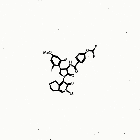 CCn1cc2c(c(N3C[C@@H](c4c(F)cc(OC)cc4F)C(NC(=O)c4ccc(OC(F)F)cc4)C3=O)c1=O)CCCC2